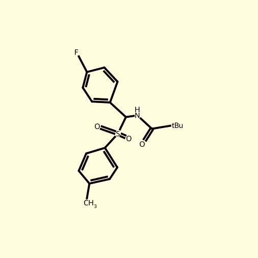 Cc1ccc(S(=O)(=O)C(NC(=O)C(C)(C)C)c2ccc(F)cc2)cc1